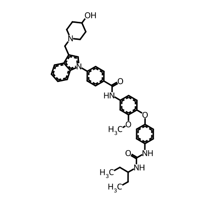 CCC(CC)NC(=O)Nc1ccc(Oc2ccc(NC(=O)c3ccc(-n4cc(CN5CCC(O)CC5)c5ccccc54)cc3)cc2OC)cc1